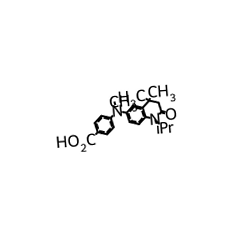 CC(C)N1C(=O)CC(C)(C)c2cc(N(C)c3ccc(C(=O)O)cc3)ccc21